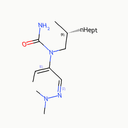 C/C=C(\C=N/N(C)C)N(C[C@H](C)CCCCCCC)C(N)=O